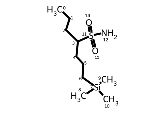 CCCC(CCC[Si](C)(C)C)S(N)(=O)=O